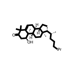 CC(C)CCC[C@@H](C)[C@H]1CC[C@H]2[C@@H]3CC=C4C(C)(C)C(=O)C[C@H](O)[C@]4(C)[C@H]3CC[C@]12C